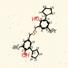 CCC(C)c1cc(CSCc2cc(C(C)C)cc(C3CCCC3)c2O)cc(C2CCCC2)c1O